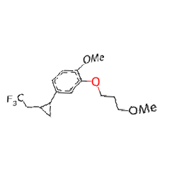 COCCCOc1cc(C2CC2CC(F)(F)F)ccc1OC